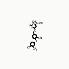 COc1cc(OCc2ccc(Oc3ccc(Cl)c(C(F)(F)F)c3)c(C#N)c2)nc(=O)n1C